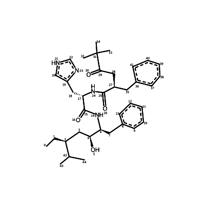 CC[C@@H](C[C@H](O)[C@H](Cc1ccccc1)NC(=O)[C@H](Cc1c[nH]cn1)NC(=O)[C@@H](CC(=O)C(C)(C)C)Cc1ccccc1)C(C)C